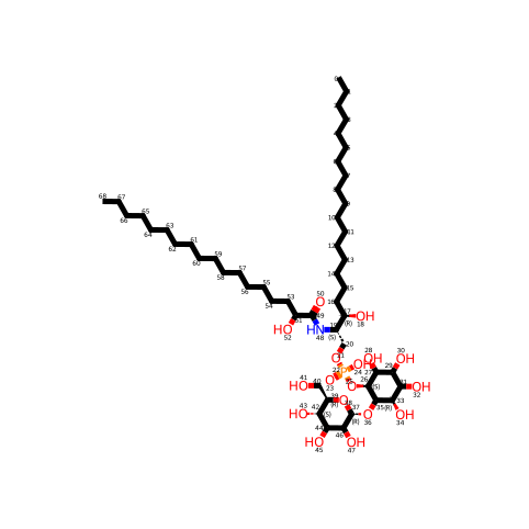 CCCCCCCCCCCCCCCCC[C@@H](O)[C@H](COP(=O)(O)O[C@H]1C(O)C(O)C(O)[C@@H](O)C1O[C@H]1O[C@H](CO)[C@@H](O)C(O)C1O)NC(=O)C(O)CCCCCCCCCCCCCCCC